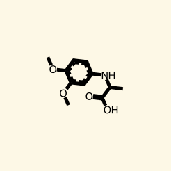 COc1ccc(NC(C)C(=O)O)cc1OC